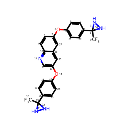 FC(F)(F)C1(c2ccc(Oc3ccc4ncc(Oc5ccc(C6(C(F)(F)F)NN6)cc5)cc4c3)cc2)NN1